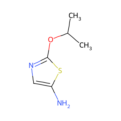 CC(C)Oc1ncc(N)s1